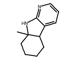 CC12CCCCC1c1cccnc1N2